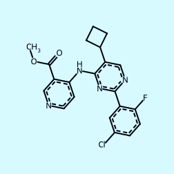 COC(=O)c1cnccc1Nc1nc(-c2cc(Cl)ccc2F)ncc1C1CCC1